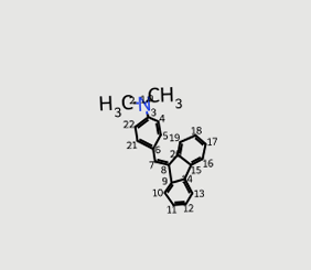 CN(C)c1ccc(C=C2c3ccccc3-c3ccccc32)cc1